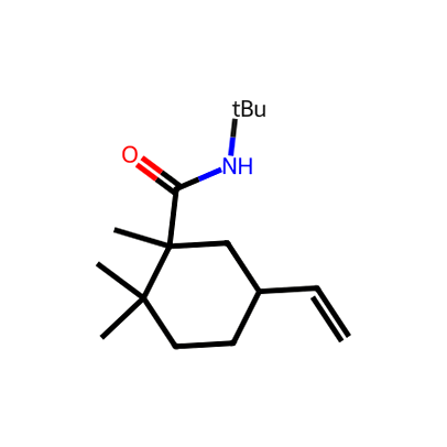 C=CC1CCC(C)(C)C(C)(C(=O)NC(C)(C)C)C1